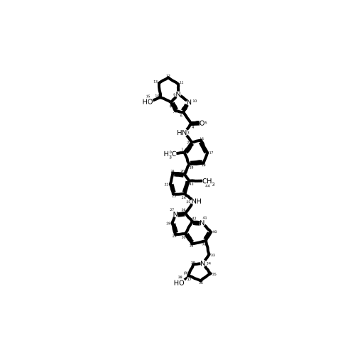 Cc1c(NC(=O)c2cc3n(n2)CCCC3O)cccc1-c1cccc(Nc2nccc3cc(CN4CC[C@@H](O)C4)cnc23)c1C